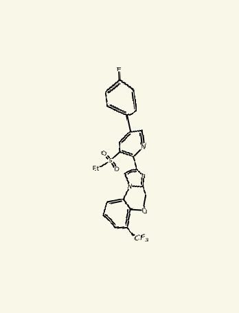 CCS(=O)(=O)c1cc(-c2ccc(F)cc2)cnc1-c1cn2c(n1)COc1c-2cccc1C(F)(F)F